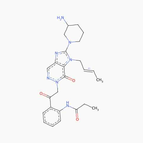 C/C=C/Cn1c(N2CCCC(N)C2)nc2cnn(CC(=O)c3ccccc3NC(=O)CC)c(=O)c21